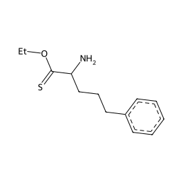 CCOC(=S)C(N)CCCc1ccccc1